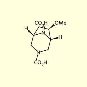 CO[C@@H]1C[C@H]2CN(C(=O)O)C[C@@H]1N2C(=O)O